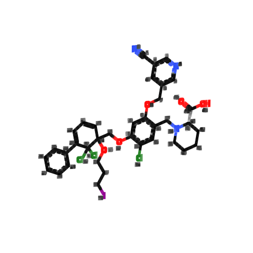 N#Cc1cncc(COc2cc(OCC3(OCCCI)C=CC=C(c4ccccc4)C3(Cl)Cl)c(Cl)cc2CN2CCCC[C@H]2C(=O)O)c1